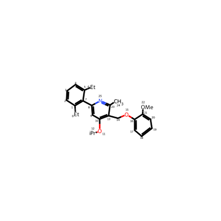 CCc1cccc(CC)c1-c1cc(OC(C)C)c(COc2ccccc2OC)c(C)n1